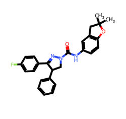 CC1(C)Cc2cc(NC(=O)N3CC(c4ccccc4)C(c4ccc(F)cc4)=N3)ccc2O1